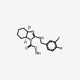 CC(C)(C)OC(=O)N1C(NCc2ccc(F)c(F)c2)=N[C@@H]2CCCC[C@@H]21